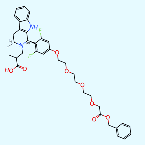 CC(CN1[C@H](c2c(F)cc(OCCOCCOCCOCC(=O)OCc3ccccc3)cc2F)c2[nH]c3ccccc3c2C[C@H]1C)C(=O)O